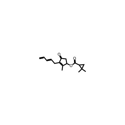 C=CC=CCC1=C(C)C(OC(=O)C2CC2(C)C)CC1=O